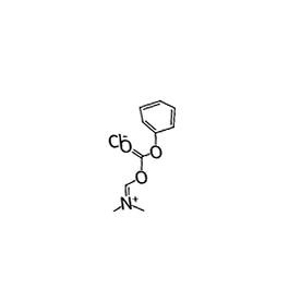 C[N+](C)=COC(=O)Oc1ccccc1.[Cl-]